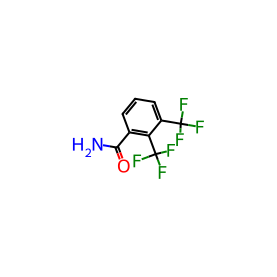 NC(=O)c1cccc(C(F)(F)F)c1C(F)(F)F